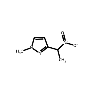 CC(c1ccn(C)n1)[N+](=O)[O-]